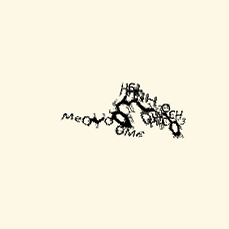 COCCCOc1cc(CC(CC(N)C(O)CNC(=O)C(C)(C)C2CCCCC2)C(C)C)ccc1OC.Cl